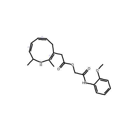 COc1ccccc1NC(=O)COC(=O)C/C1=C(\C)NC(C)/C=C\C=C/C1